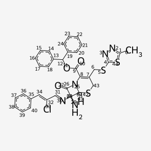 Cc1nnc(SCC2=C(C(=O)OC(c3ccccc3)c3ccccc3)N3C(=O)[C@@](N)(N=CC(Cl)=Cc4ccccc4)[C@@H]3SC2)s1